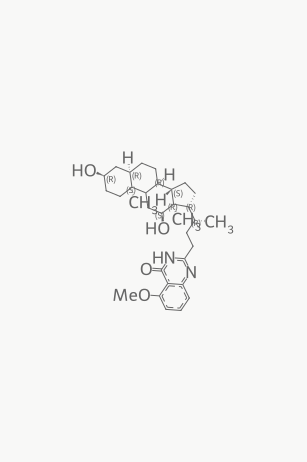 COc1cccc2nc(CC[C@@H](C)[C@H]3CC[C@H]4[C@@H]5CC[C@@H]6C[C@H](O)CC[C@]6(C)C5C[C@H](O)[C@]34C)[nH]c(=O)c12